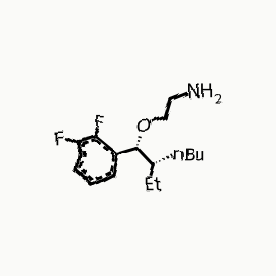 CCCC[C@H](CC)[C@@H](OCCN)c1cccc(F)c1F